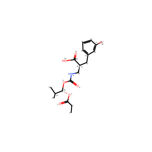 CCC(=O)O[C@@H](OC(=O)NC[C@H](Cc1cccc(Br)c1)C(=O)O)C(C)C